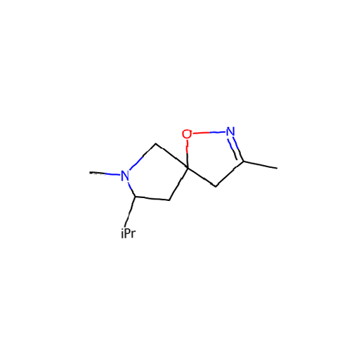 CC1=NOC2(C1)CC(C(C)C)N(C)C2